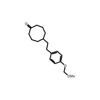 COCOc1ccc(CCC2CCCC(=O)CCC2)cc1